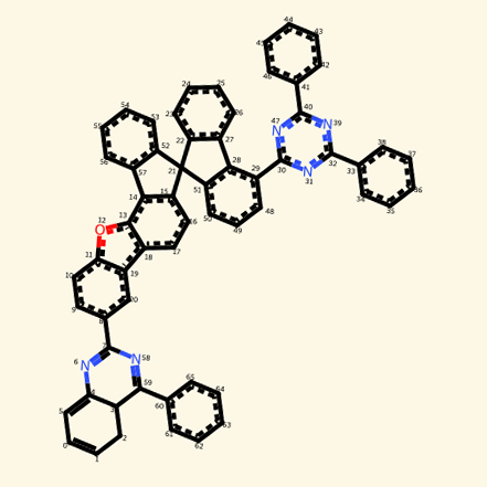 C1=CCC2C(=C1)N=C(c1ccc3oc4c5c(ccc4c3c1)C1(c3ccccc3-c3c(-c4nc(-c6ccccc6)nc(-c6ccccc6)n4)cccc31)c1ccccc1-5)N=C2c1ccccc1